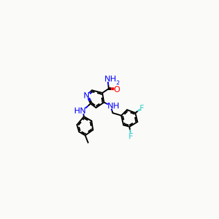 Cc1ccc(Nc2cc(NCc3cc(F)cc(F)c3)c(C(N)=O)cn2)cc1